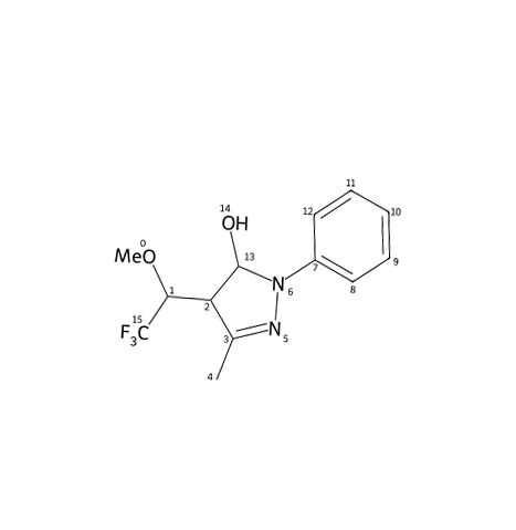 COC(C1C(C)=NN(c2ccccc2)C1O)C(F)(F)F